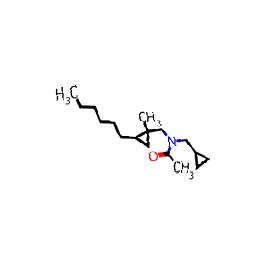 CCCCCCC1CC1(C)CN(CC1CC1)C(C)=O